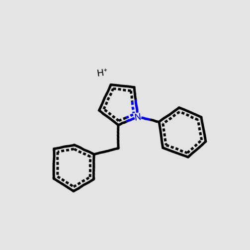 [H+].c1ccc(Cc2cccn2-c2ccccc2)cc1